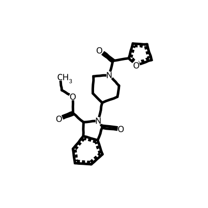 CCOC(=O)C1c2ccccc2C(=O)N1C1CCN(C(=O)c2ccco2)CC1